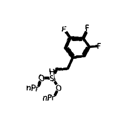 CCCO[SiH](CCc1cc(F)c(F)c(F)c1)OCCC